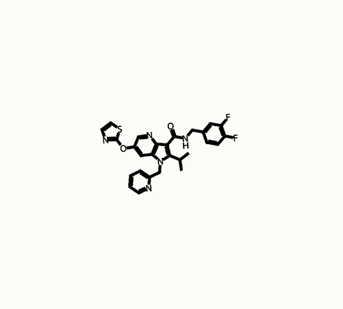 CC(C)c1c(C(=O)NCc2ccc(F)c(F)c2)c2ncc(Oc3nccs3)cc2n1Cc1ccccn1